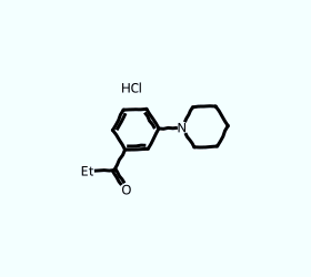 CCC(=O)c1cccc(N2CCCCC2)c1.Cl